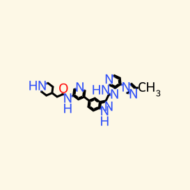 Cc1cn(-c2ccnc3[nH]c(-c4n[nH]c5ccc(-c6cncc(NC(=O)CC7CCNCC7)c6)cc45)nc23)cn1